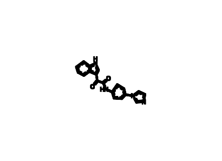 O=C(Nc1ccc(-n2ccnc2)cc1)C(=O)c1c[nH]c2ccccc12